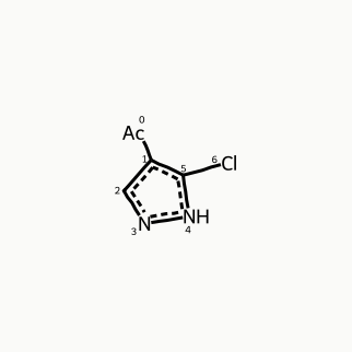 CC(=O)c1cn[nH]c1Cl